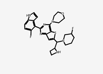 Fc1ccc2[nH]ccc2c1-c1nc(N2CCOCC2)c2sc(C(C3CCN3)N3CCCC(F)C3)cc2n1